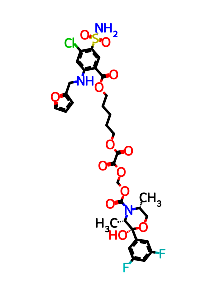 C[C@@H]1CO[C@@](O)(c2cc(F)cc(F)c2)[C@H](C)N1C(=O)OCOC(=O)C(=O)OCCCCCOC(=O)c1cc(S(N)(=O)=O)c(Cl)cc1NCc1ccco1